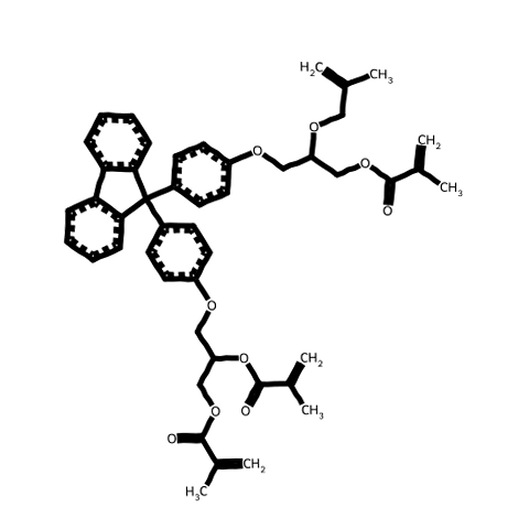 C=C(C)COC(COC(=O)C(=C)C)COc1ccc(C2(c3ccc(OCC(COC(=O)C(=C)C)OC(=O)C(=C)C)cc3)c3ccccc3-c3ccccc32)cc1